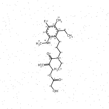 C=C(COC(=O)CO)C(=O)N(CC)CCCc1c(NC)cc(F)c(C)c1CC